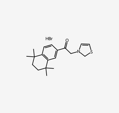 Br.CC1(C)CCC(C)(C)c2cc(C(=O)CN3C=CSC3)ccc21